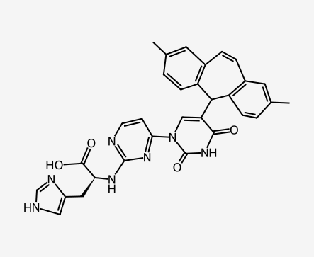 Cc1ccc2c(c1)C=Cc1cc(C)ccc1C2c1cn(-c2ccnc(N[C@@H](Cc3c[nH]cn3)C(=O)O)n2)c(=O)[nH]c1=O